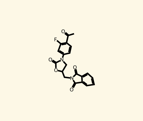 CC(=O)c1ccc(N2CC(CN3C(=O)c4ccccc4C3=O)OC2=O)cc1F